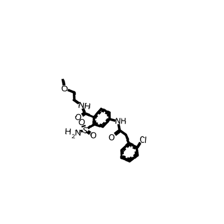 COCCNC(=O)c1ccc(NC(=O)Cc2ccccc2Cl)cc1S(N)(=O)=O